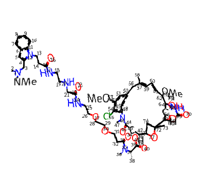 CNN(C)Cc1cc2ccccc2n1CCC(=O)NCCNCC(=O)NCCOCCOCCC(=O)N(C)[C@@H](C)C(=O)O[C@H]1CC(=O)N(C)c2cc(cc(OC)c2Cl)C/C(C)=C/C=C/[C@@H](OC)[C@@]2(O)C[C@H](OC(=O)N2)C2(C)C[C@@]1(C)O2